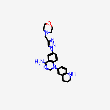 NC1=NCN(c2ccc3c(c2)CCCN3)c2ccc(-n3cc(CN4CCOCC4)nn3)cc21